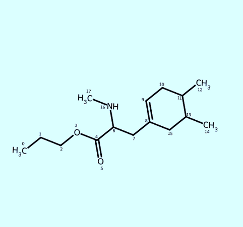 CCCOC(=O)C(CC1=CCC(C)C(C)C1)NC